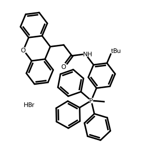 Br.CC(C)(C)c1ccc(P(C)(c2ccccc2)(c2ccccc2)c2ccccc2)cc1NC(=O)CC1c2ccccc2Oc2ccccc21